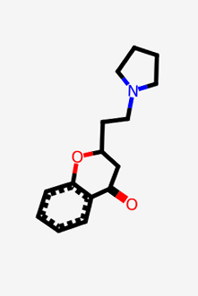 O=C1CC(CCN2CCCC2)Oc2ccccc21